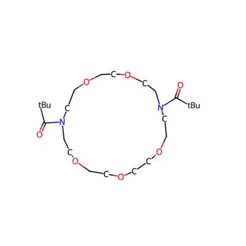 CC(C)(C)C(=O)N1CCOCCOCCOCCN(C(=O)C(C)(C)C)CCOCCOCC1